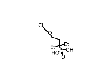 CCC(CC)(CCOCCl)P(=O)(O)O